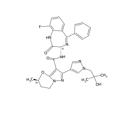 C[C@@H]1CCn2nc(-c3cnn(CC(C)(C)O)c3)c(C(=O)N[C@H]3N=C(c4ccccc4)c4cccc(F)c4NC3=O)c2O1